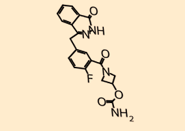 NC(=O)OC1CN(C(=O)c2cc(Cc3n[nH]c(=O)c4ccccc34)ccc2F)C1